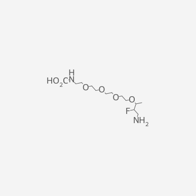 CC(OCCOCCOCCOCCNC(=O)O)C(F)CN